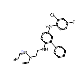 C=CN(CCNc1ccc(Nc2ccc(F)cc2Cl)cc1-c1ccccc1)/N=C\CCC